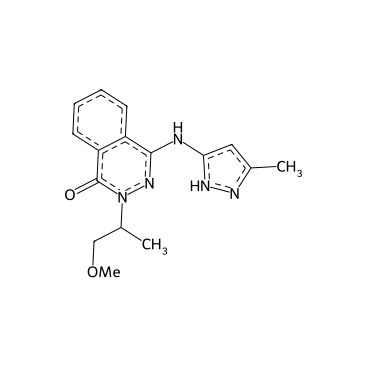 COCC(C)n1nc(Nc2cc(C)n[nH]2)c2ccccc2c1=O